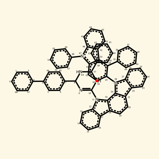 c1ccc(-c2ccc(C3N=C(n4c5ccccc5c5ccc6c7ccccc7n(-c7ccc8c(c7-c7ccccc7)c7ccccc7n8-c7ccccc7)c6c54)NC(c4ccccc4)N3)cc2)cc1